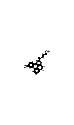 OCCCNc1nc2c(c(-c3ccc(Cl)cc3)n1)-c1ccccc1CC2